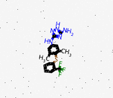 Cc1cc(Nc2n[nH]c(N)n2)cc(C)c1Sc1ccccc1C(F)(F)F